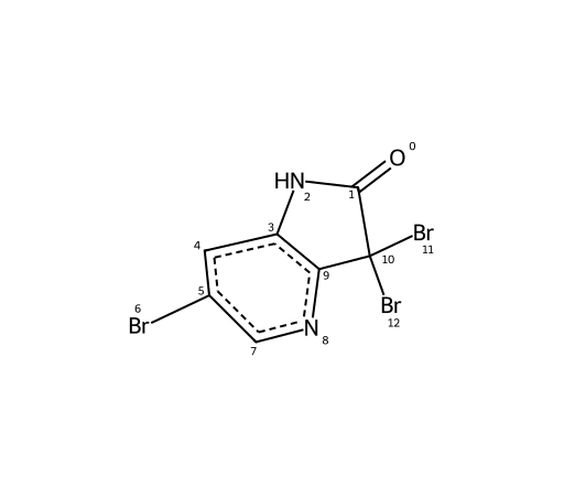 O=C1Nc2cc(Br)cnc2C1(Br)Br